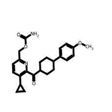 COc1ccc(C2CCC(C(=O)c3nc(COC(N)=O)ccc3C3CC3)CC2)cc1